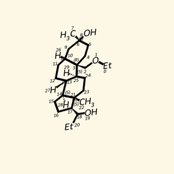 CCOC[C@]12CC[C@@](C)(O)C[C@H]1CC[C@H]1[C@@H]3CC[C@H](C(O)CC)[C@@]3(C)CC[C@@H]12